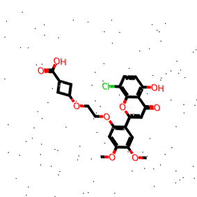 COc1cc(OCCOC2CC(C(=O)O)C2)c(-c2cc(=O)c3c(O)ccc(Cl)c3o2)cc1OC